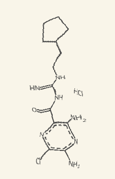 Cl.N=C(NCCC1CCCC1)NC(=O)c1nc(Cl)c(N)nc1N